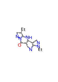 CCc1cnn2c(=O)c3cnc4c(cnn4CC)c3[nH]c12